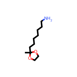 CC1(CCCCCCCN)OCCO1